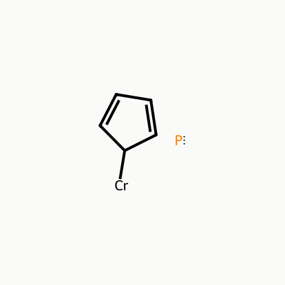 [Cr][CH]1C=CC=C1.[P]